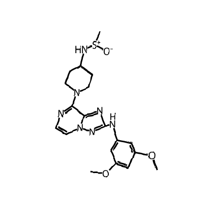 COc1cc(Nc2nc3c(N4CCC(N[S+](C)[O-])CC4)nccn3n2)cc(OC)c1